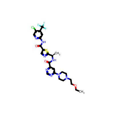 CCOCCN1CCN(c2cc(C(=O)N[C@H](C)c3ncc(C(=O)Nc4cc(C(F)(F)F)c(Cl)cn4)s3)ncn2)CC1